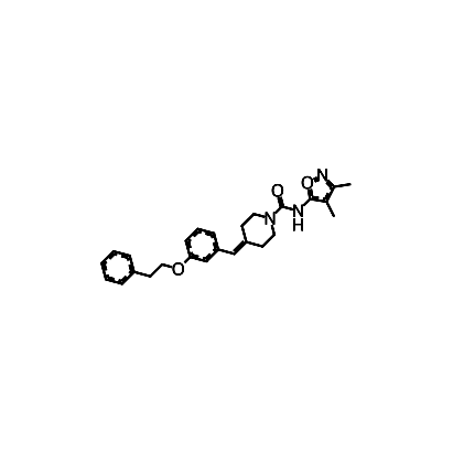 Cc1noc(NC(=O)N2CCC(=Cc3cccc(OCCc4ccccc4)c3)CC2)c1C